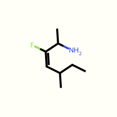 CCC(C)/C=C(/F)C(C)N